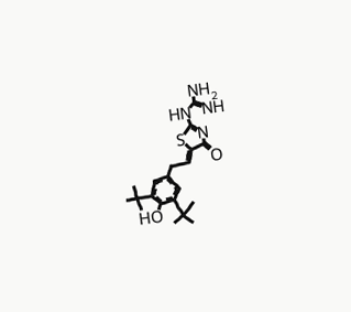 CC(C)(C)c1cc(CC=C2SC(NC(=N)N)=NC2=O)cc(C(C)(C)C)c1O